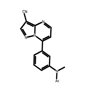 CC(=O)N(C)c1cccc(-c2ccnc3c(C#N)cnn23)c1